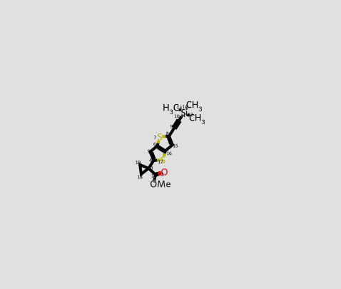 COC(=O)C1(c2cc3sc(C#C[Si](C)(C)C)cc3s2)CC1